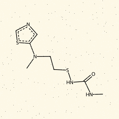 CNC(=O)NSCCN(C)c1cncs1